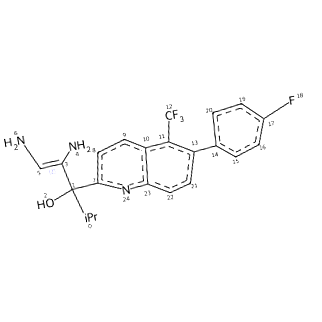 CC(C)C(O)(/C(N)=C/N)c1ccc2c(C(F)(F)F)c(-c3ccc(F)cc3)ccc2n1